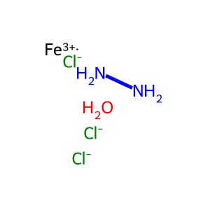 NN.O.[Cl-].[Cl-].[Cl-].[Fe+3]